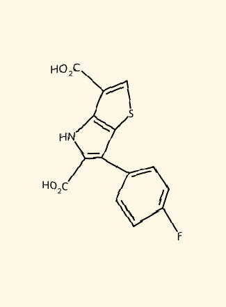 O=C(O)c1[nH]c2c(C(=O)O)csc2c1-c1ccc(F)cc1